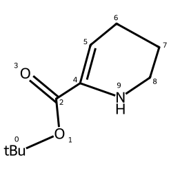 CC(C)(C)OC(=O)C1=CCCCN1